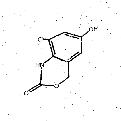 O=C1Nc2c(Cl)cc(O)cc2CO1